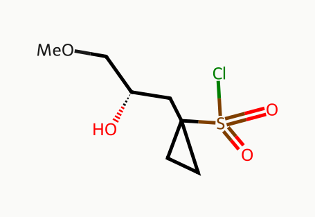 COC[C@@H](O)CC1(S(=O)(=O)Cl)CC1